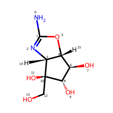 NC1=N[C@@H]2[C@H](O1)[C@@H](O)[C@H](O)[C@]2(O)CO